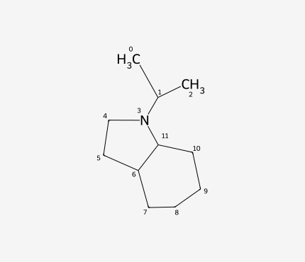 CC(C)N1CCC2CCCCC21